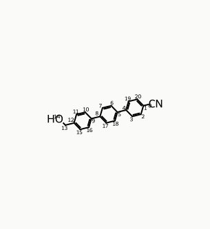 N#Cc1ccc(-c2ccc(-c3ccc(CO)cc3)cc2)cc1